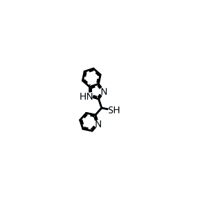 SC(c1ccccn1)c1nc2ccccc2[nH]1